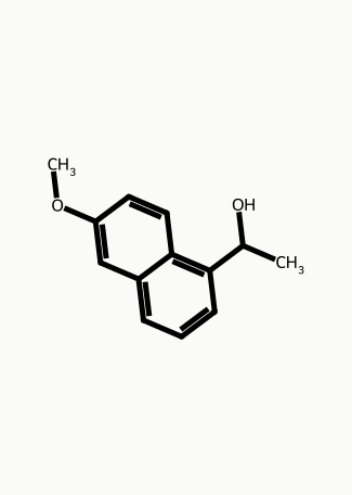 COc1ccc2c(C(C)O)cccc2c1